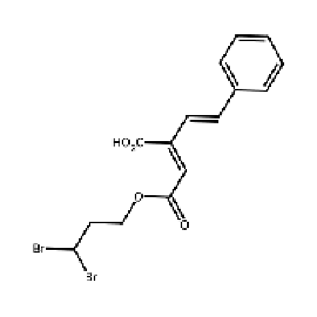 O=C(C=C(C=Cc1ccccc1)C(=O)O)OCCC(Br)Br